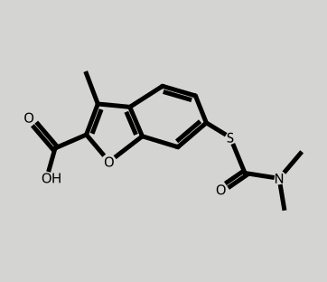 Cc1c(C(=O)O)oc2cc(SC(=O)N(C)C)ccc12